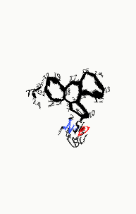 CC(C)(C)[N+](C)(C)[Si](=O)C1C=C2C(=C1)c1ccccc1Cc1ccccc12.[CH3][Ti][CH3]